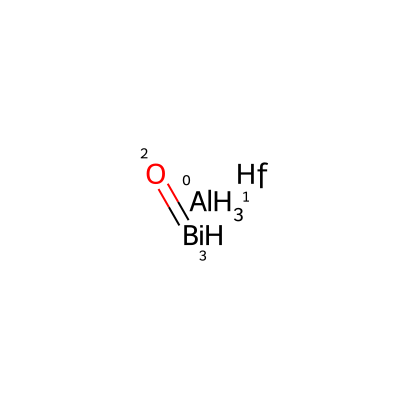 [AlH3].[Hf].[O]=[BiH]